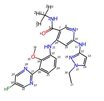 [2H]C([2H])([2H])NC(=O)c1cnc(Nc2ccn(CC)n2)cc1Nc1cccc(-c2ncc(F)cn2)c1OC